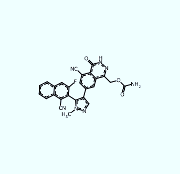 Cn1ncc(-c2cc(C#N)c3c(=O)[nH]nc(COC(N)=O)c3c2)c1-c1c(F)cc2ccccc2c1C#N